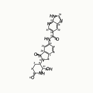 O=C1CCC(N2Cc3ccc(NC(=O)c4cnc5[nH]cnc5c4)cc3C2=O)C(O)N1